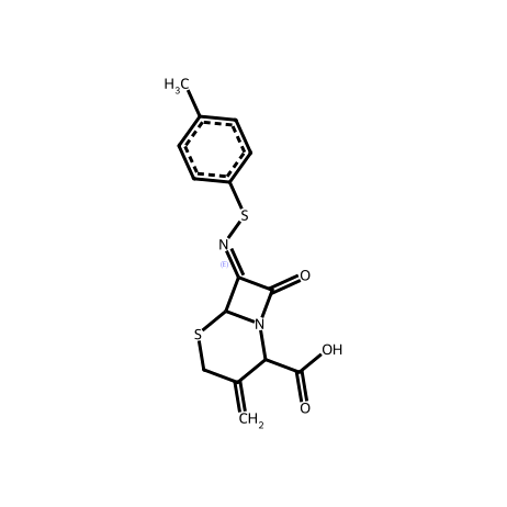 C=C1CSC2/C(=N/Sc3ccc(C)cc3)C(=O)N2C1C(=O)O